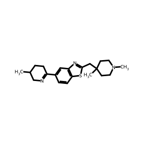 CC1CCC(c2ccc3sc(CC4(C)CCN(C)CC4)nc3c2)=NC1